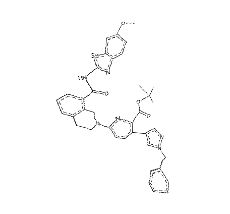 COc1ccc2nc(NC(=O)c3cccc4c3CN(c3ccc(-c5cnn(Cc6ccccc6)c5)c(C(=O)OC(C)(C)C)n3)CC4)sc2c1